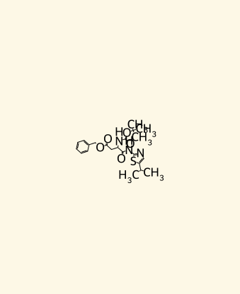 CC(C)c1cnc(NC(=O)C(CC(=O)OCc2ccccc2)NC(=O)OC(C)(C)C)s1